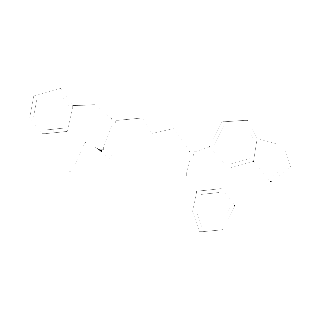 CC(C)(C)CC(=O)N(CCCN(Cc1ccccc1)c1ccc2occc2c1)Cc1ccccc1